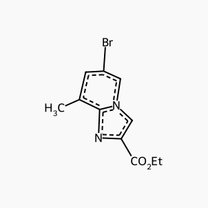 CCOC(=O)c1cn2cc(Br)cc(C)c2n1